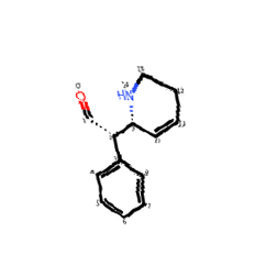 O=C[C@@H](c1ccccc1)[C@H]1C=CCCN1